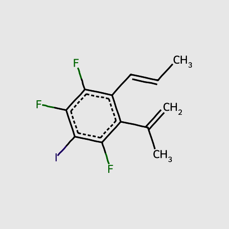 C=C(C)c1c(F)c(I)c(F)c(F)c1/C=C/C